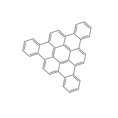 c1ccc2c(c1)c1ccc3c4ccccc4c4ccc5c6ccccc6c6ccc2c2c1c3c4c5c62